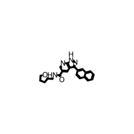 O=C(NCC1CCCO1)c1cnc2[nH]nc(-c3ccc4ccccc4c3)c2c1